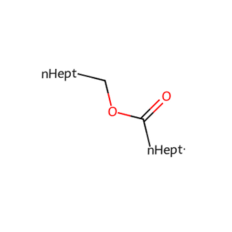 CCCCCC[CH]C(=O)OCCCCCCCC